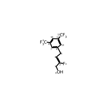 OC/C(F)=C/Cc1cc(C(F)(F)F)cc(C(F)(F)F)c1